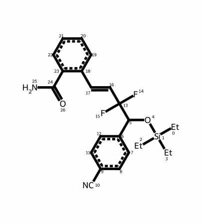 CC[Si](CC)(CC)OC(c1ccc(C#N)cc1)C(F)(F)/C=C/c1ccccc1C(N)=O